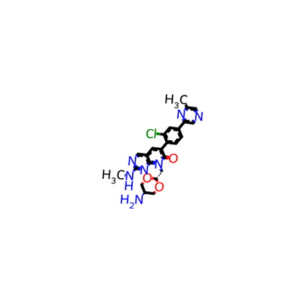 CNc1ncc2cc(-c3ccc(-c4cncc(C)n4)cc3Cl)c(=O)n(C[C@H]3OC[C@H](N)CO3)c2n1